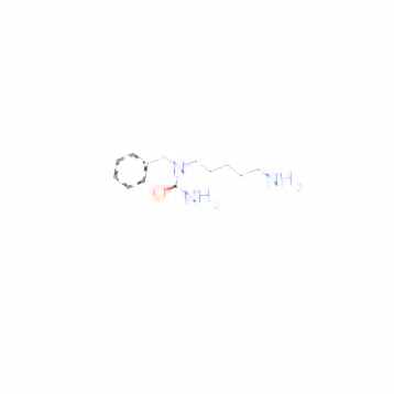 NCCC[CH]CN(Cc1ccccc1)C(N)=O